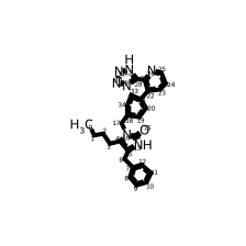 CCCCc1c(Cc2ccccc2)[nH]c(=O)n1Cc1ccc(-c2cccnc2-c2nnn[nH]2)cc1